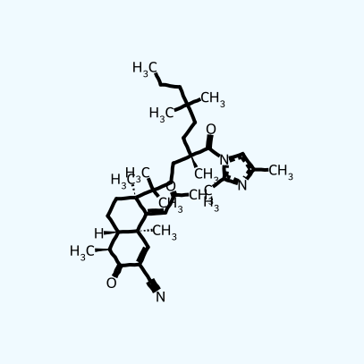 CCCC(C)(C)CC[C@@](C)(CCC(C)(C)[C@]1(C)CC[C@H]2[C@H](C)C(=O)C(C#N)=C[C@]2(C)/C1=C/C(C)=O)C(=O)n1cc(C)nc1C